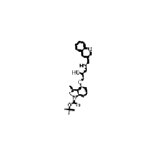 Cc1nn(C(=O)OC(C)(C)C)c2cccc(OCC(O)CNCC3COc4ccccc4C3)c12